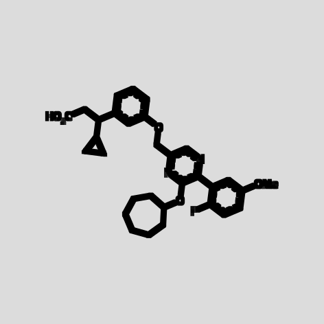 COc1ccc(F)c(-c2ncc(COc3cccc(C(CC(=O)O)C4CC4)c3)nc2OC2CCCCCC2)c1